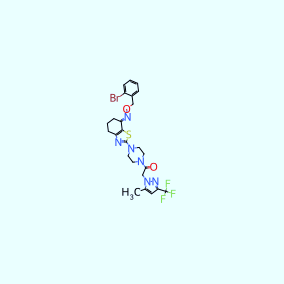 Cc1cc(C(F)(F)F)nn1CC(=O)N1CCN(c2nc3c(s2)C(=NOCc2ccccc2Br)CCC3)CC1